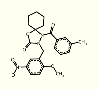 COc1ccc([N+](=O)[O-])cc1CN1C(=O)OC2(CCCCC2)N1C(=O)c1cccc(C)c1